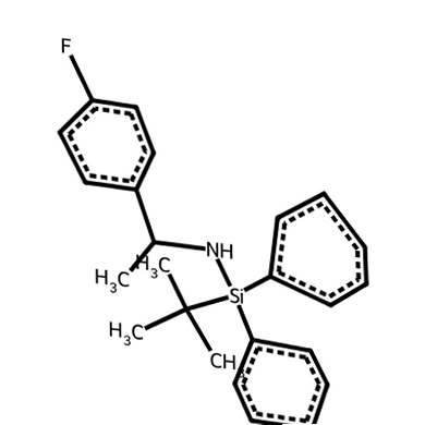 CC(N[Si](c1ccccc1)(c1ccccc1)C(C)(C)C)c1ccc(F)cc1